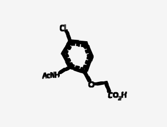 CC(=O)Nc1cc(Cl)ccc1OCC(=O)O